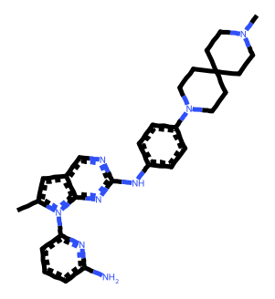 Cc1cc2cnc(Nc3ccc(N4CCC5(CCN(C)CC5)CC4)cc3)nc2n1-c1cccc(N)n1